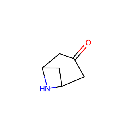 O=C1CC2CC(C1)N2